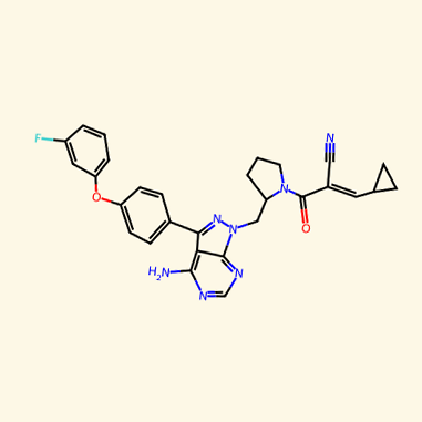 N#CC(=CC1CC1)C(=O)N1CCCC1Cn1nc(-c2ccc(Oc3cccc(F)c3)cc2)c2c(N)ncnc21